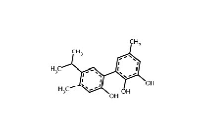 Cc1cc(O)c(O)c(-c2cc(C(C)C)c(C)cc2O)c1